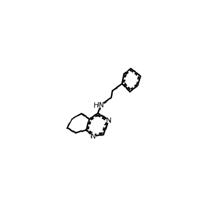 c1ccc(CCNc2ncnc3c2CCCC3)cc1